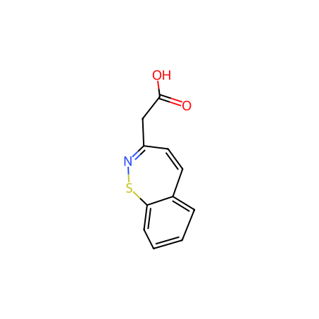 O=C(O)CC1=NSc2ccccc2C=C1